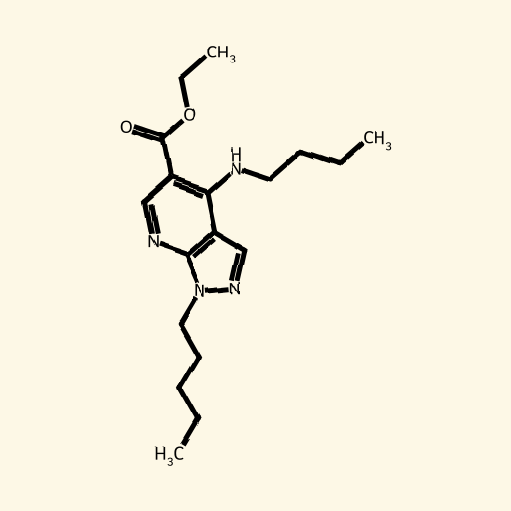 CCCCCn1ncc2c(NCCCC)c(C(=O)OCC)cnc21